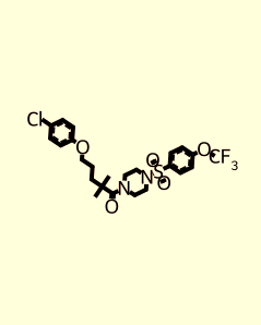 CC(C)(CCCOc1ccc(Cl)cc1)C(=O)N1CCN(S(=O)(=O)c2ccc(OC(F)(F)F)cc2)CC1